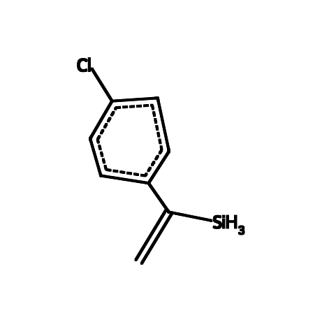 C=C([SiH3])c1ccc(Cl)cc1